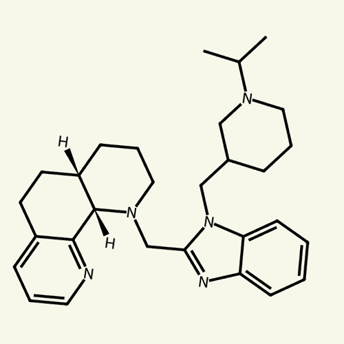 CC(C)N1CCCC(Cn2c(CN3CCC[C@H]4CCc5cccnc5[C@H]43)nc3ccccc32)C1